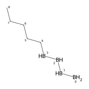 BBBBCCCCC